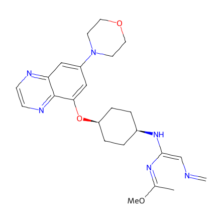 C=N/C=C(\N=C(/C)OC)N[C@H]1CC[C@@H](Oc2cc(N3CCOCC3)cc3nccnc23)CC1